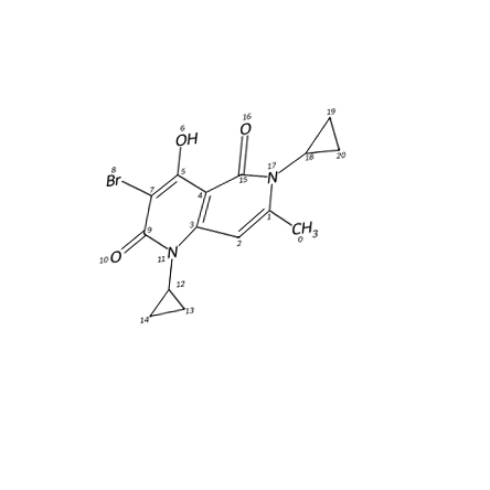 Cc1cc2c(c(O)c(Br)c(=O)n2C2CC2)c(=O)n1C1CC1